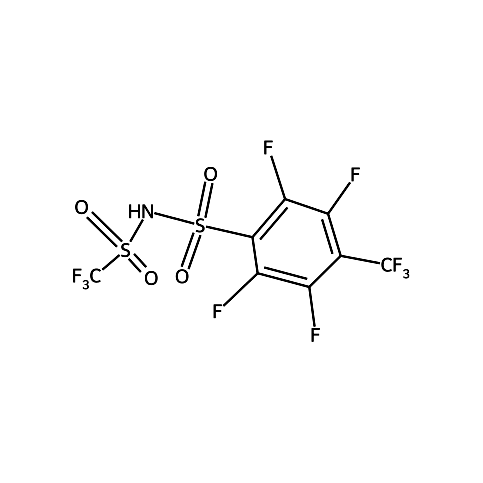 O=S(=O)(NS(=O)(=O)C(F)(F)F)c1c(F)c(F)c(C(F)(F)F)c(F)c1F